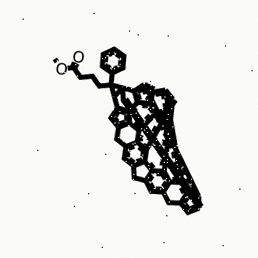 COC(=O)CCCC1(c2ccccc2)C2c3cc4c5c3c3c6c7c8c(cc9c8c8c%10c(cc%11c%12c%13c(cc(c%14c5c5c3c7c8c(c%12%10)c5c%13%14)C4)C%11)C9)=CC621